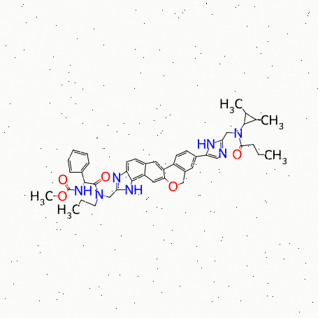 CCCC(=O)N(Cc1ncc(-c2ccc3c(c2)COc2cc4c(ccc5nc(CN(CCC)C(=O)[C@H](NC(=O)OC)c6ccccc6)[nH]c54)cc2-3)[nH]1)C1C(C)[C@H]1C